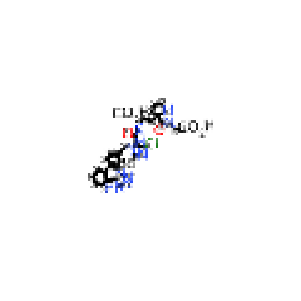 CCCCc1nc(Cl)c(C(=O)NCC(CC2(C(=O)NCC(=O)O)CCCC2)C(=O)O)n1Cc1ccc(-c2ccccc2-c2nnn[nH]2)cc1